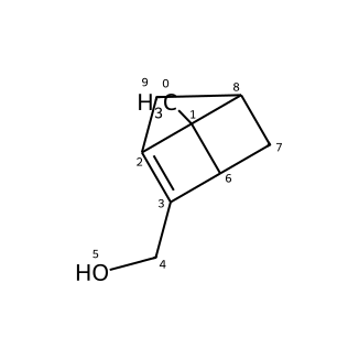 CC12C3=C(CO)C1CC2C3